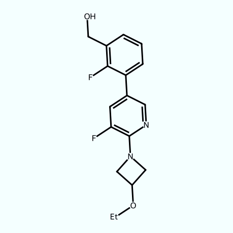 CCOC1CN(c2ncc(-c3cccc(CO)c3F)cc2F)C1